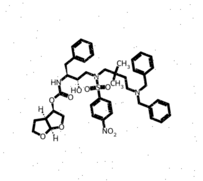 CC(C)(CCN(Cc1ccccc1)Cc1ccccc1)CN(C[C@H](O)[C@H](Cc1ccccc1)NC(=O)O[C@H]1CO[C@H]2OCC[C@H]21)S(=O)(=O)c1ccc([N+](=O)[O-])cc1